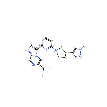 Cn1cc(C2CCN(c3ccnc(-c4cnc5cnc(C(F)F)cn45)n3)C2)cn1